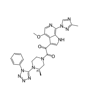 COc1cnc(-n2cnc(C)n2)c2[nH]cc(C(=O)C(=O)N3CCN(c4nnnn4-c4ccccc4)[C@H](C)C3)c12